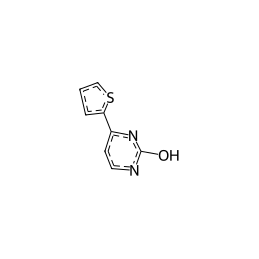 Oc1nccc(-c2cccs2)n1